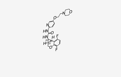 O=C(Nc1ccc(OCCN2CCOCC2)cn1)N[C@@H]1[C@H]2COc3c(F)ccc(F)c3[C@@H]21